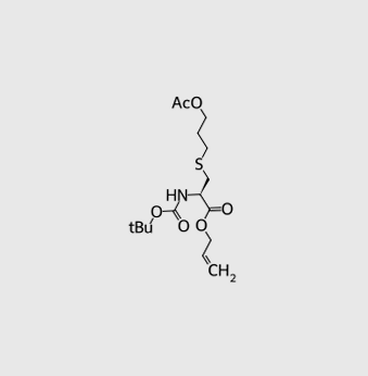 C=CCOC(=O)[C@H](CSCCCOC(C)=O)NC(=O)OC(C)(C)C